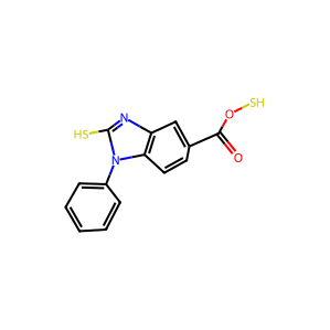 O=C(OS)c1ccc2c(c1)nc(S)n2-c1ccccc1